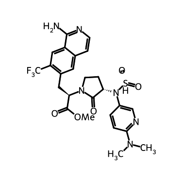 COC(=O)[C@@H](Cc1cc2ccnc(N)c2cc1C(F)(F)F)N1CC[C@H](N(c2ccc(N(C)C)nc2)[SH](=O)=O)C1=O